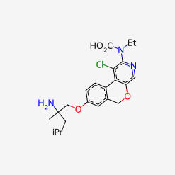 CCN(C(=O)O)c1ncc2c(c1Cl)-c1ccc(OCC(C)(N)CC(C)C)cc1CO2